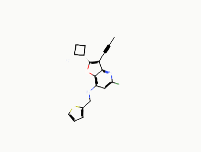 CC#Cc1c([C@@H]2CC[C@H]2N)oc2c(NCc3cccs3)cc(Cl)nc12